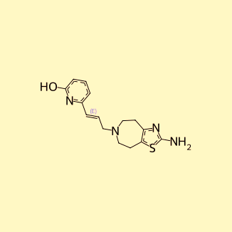 Nc1nc2c(s1)CCN(C/C=C/c1cccc(O)n1)CC2